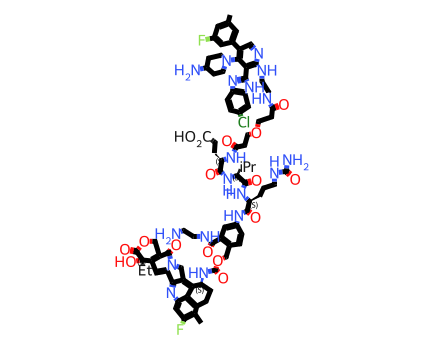 CC[C@@]1(O)C(=O)OCc2c1cc1n(c2=O)Cc2c-1nc1cc(F)c(C)c3c1c2[C@@H](NC(=O)OCc1ccc(NC(=O)[C@H](CCCNC(N)=O)NC(=O)[C@@H](NC(=O)[C@H](CCC(=O)O)NC(=O)CCOCCC(=O)NCCNc2ncc(-c4cc(C)cc(F)c4)c(N4CCC(N)CC4)c2-c2nc4ccc(Cl)cc4[nH]2)C(C)C)cc1C(=O)NCCN)CC3